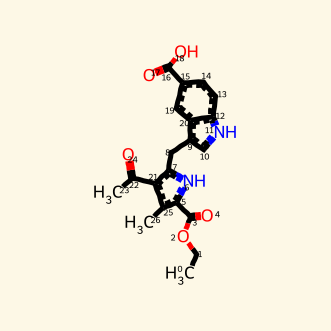 CCOC(=O)c1[nH]c(Cc2c[nH]c3ccc(C(=O)O)cc23)c(C(C)=O)c1C